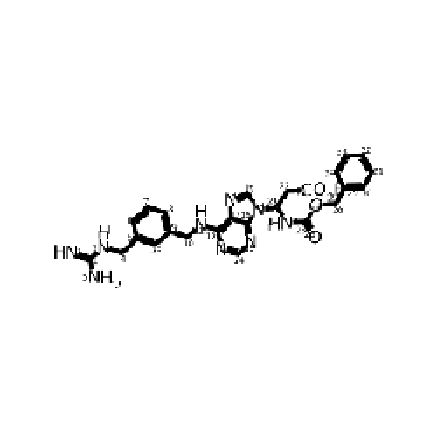 N=C(N)NCc1cccc(CNc2ncnc3c2ncn3C(CC(=O)O)NC(=O)OCc2ccccc2)c1